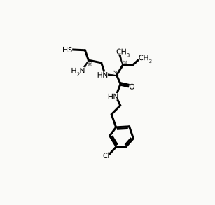 CC[C@H](C)[C@H](NC[C@@H](N)CS)C(=O)NCCc1cccc(Cl)c1